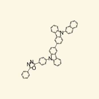 c1ccc(-c2nnc(-c3ccc(-n4c5ccccc5c5cc(-c6ccc7c(c6)c6ccccc6n7-c6ccc7ccccc7c6)ccc54)cc3)o2)cc1